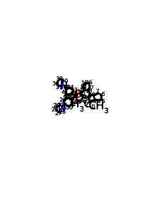 CC1(C)c2ccccc2-c2c1c1c(c3ccccc23)OC(c2ccc(N3CCCC3)cc2)(c2ccc(N3CCCC3)cc2)C=C1